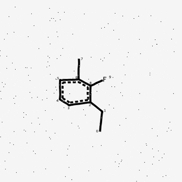 CCc1cccc(C)c1F